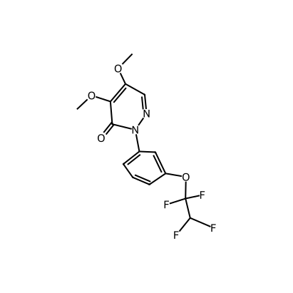 COc1cnn(-c2cccc(OC(F)(F)C(F)F)c2)c(=O)c1OC